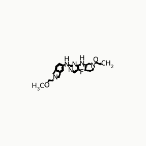 C=CC(=O)N1CCC[C@@H](Nc2nc(Nc3ccc4c(c3)CN(CCOC)C4)ncc2F)C1